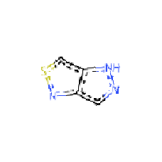 c1n[nH]c2csnc12